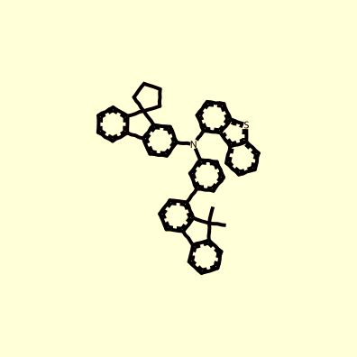 CC1(C)c2ccccc2-c2cccc(-c3cccc(N(c4ccc5c(c4)C4(CCCC4)c4ccccc4-5)c4cccc5sc6ccccc6c45)c3)c21